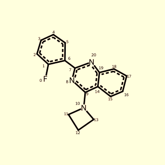 Fc1ccccc1-c1nc(N2CCC2)c2ccccc2n1